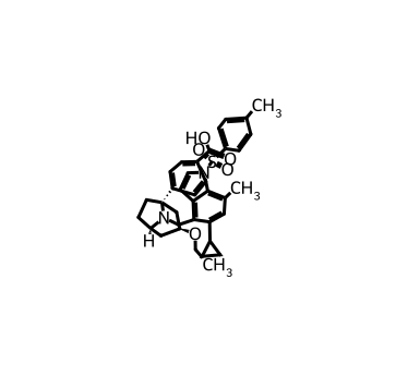 CCO[C@H]1C[C@H]2CC[C@@](c3ccc(C(=O)O)cc3)(C1)N2Cc1c(C2CC2)cc(C)c2c1ccn2S(=O)(=O)c1ccc(C)cc1